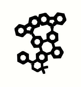 CC1(C)CCN(c2ccccc2)c2cc3c(cc21)-c1ccccc1-c1ccc(-n2c4ccccc4c4ccccc42)cc1-c1cc(-n2c4ccccc4c4ccccc42)ccc1-3